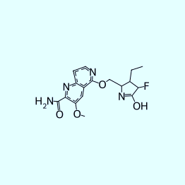 CCC1C(COc2nccc3nc(C(N)=O)c(OC)cc23)N=C(O)C1F